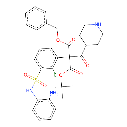 CC(C)(C)OC(=O)C(C(=O)OCc1ccccc1)(C(=O)C1CCNCC1)c1cccc(S(=O)(=O)Nc2ccccc2N)c1Cl